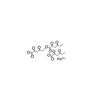 CCC(=O)CC(=O)C(=O)[O-].CCC(=O)CC(=O)C(=O)[O-].CCC(=O)CC(=O)C(=O)[O-].[Fe+3]